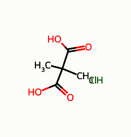 CC(C)(C(=O)O)C(=O)O.Cl